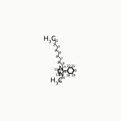 CCCCCCCCCC[n+]1ccn(CC)c1-c1ccccc1